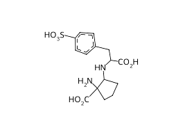 NC1(C(=O)O)CCCC1NC(Cc1ccc(S(=O)(=O)O)cc1)C(=O)O